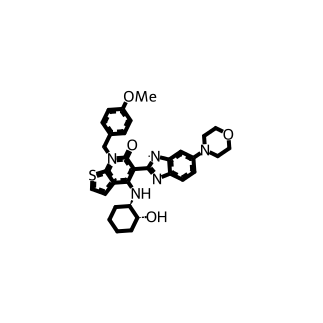 COc1ccc(Cn2c(=O)c(C3=Nc4ccc(N5CCOCC5)cc4[N]3)c(N[C@H]3CCCC[C@H]3O)c3ccsc32)cc1